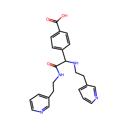 O=C(O)c1ccc(C(NCCc2cccnc2)C(=O)NCCc2cccnc2)cc1